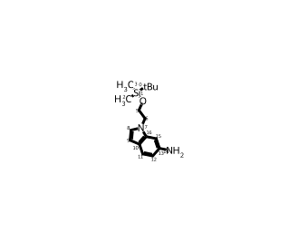 CC(C)(C)[Si](C)(C)OCCn1ccc2ccc(N)cc21